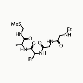 CCNCC(=O)NCC(=O)N[C@H](C(=O)N[C@@H](C)C(=O)NCSC)C(C)C